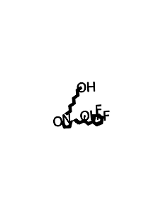 O=C1CC[C@H](/C=C/[C@@H](O)Cc2ccc(F)c(F)c2)N1CCCCCCCO